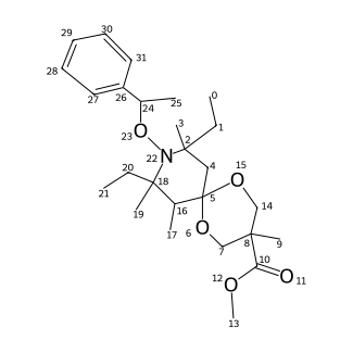 CCC1(C)CC2(OCC(C)(C(=O)OC)CO2)C(C)C(C)(CC)N1OC(C)c1ccccc1